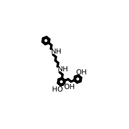 Oc1cccc(CCc2c(CCNCCCCCNCCc3ccccc3)ccc(O)c2O)c1